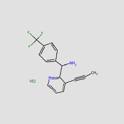 CC#Cc1cccnc1C(N)c1ccc(C(F)(F)F)cc1.Cl